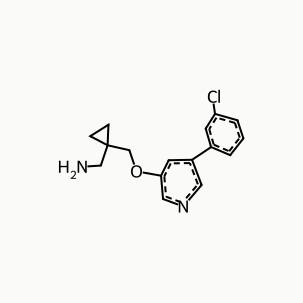 NCC1(COc2cncc(-c3cccc(Cl)c3)c2)CC1